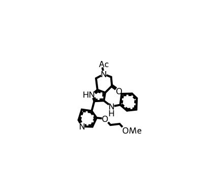 COCCOc1cnccc1-c1[nH]c2c(c1Nc1ccccc1)C(=O)CN(C(C)=O)C2